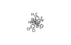 Cc1cc(C(F)(F)F)cc(S(=O)(=O)Nc2cc(Cl)c(Cl)cc2NS(=O)(=O)c2cccs2)c1